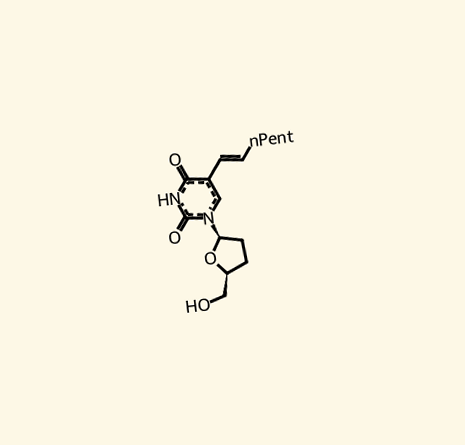 CCCCC/C=C/c1cn([C@H]2CC[C@@H](CO)O2)c(=O)[nH]c1=O